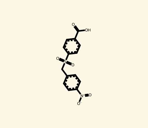 O=C(O)c1ccc(S(=O)(=O)Cc2ccc([N+](=O)[O-])cc2)cc1